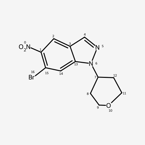 O=[N+]([O-])c1cc2cnn(C3CCOCC3)c2cc1Br